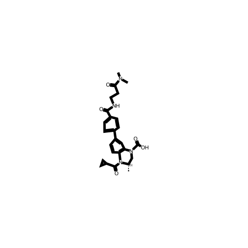 C[C@H]1CN(C(=O)O)c2cc(-c3ccc(C(=O)NCCC(=O)N(C)C)cc3)ccc2N1C(=O)C1CC1